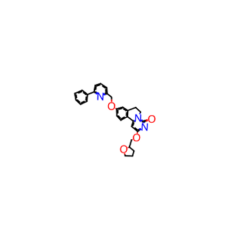 O=c1nc(OCC2CCCO2)cc2n1CCc1cc(OCc3cccc(-c4ccccc4)n3)ccc1-2